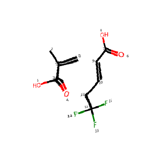 C=C(C)C(=O)O.O=C(O)C=CCC(F)(F)F